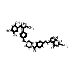 Cc1noc(-c2cc(C(C)C)c(O)cc2O)c1-c1ccc(CN2CCN(C(=O)c3ccc(CCc4c[nH]c5[nH]c(N)nc(=O)c45)cc3)CC2)cc1